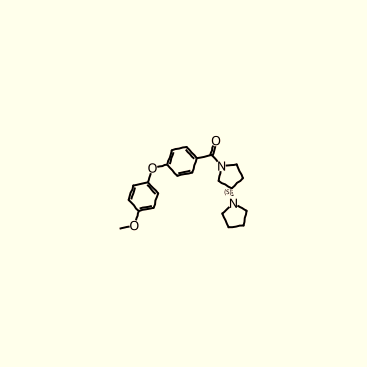 COc1ccc(Oc2ccc(C(=O)N3CC[C@H](N4CCCC4)C3)cc2)cc1